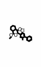 CCOC(=O)C1CCCCC1C(=O)Cc1cc(C)c(-c2ccccc2)cc1Cl